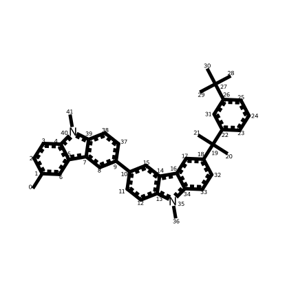 Cc1ccc2c(c1)c1cc(-c3ccc4c(c3)c3cc(C(C)(C)c5cccc(C(C)(C)C)c5)ccc3n4C)ccc1n2C